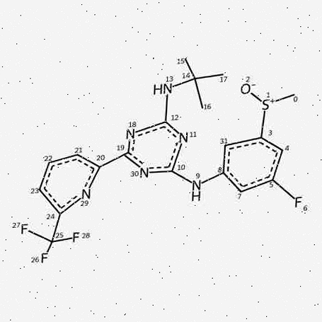 C[S+]([O-])c1cc(F)cc(Nc2nc(NC(C)(C)C)nc(-c3cccc(C(F)(F)F)n3)n2)c1